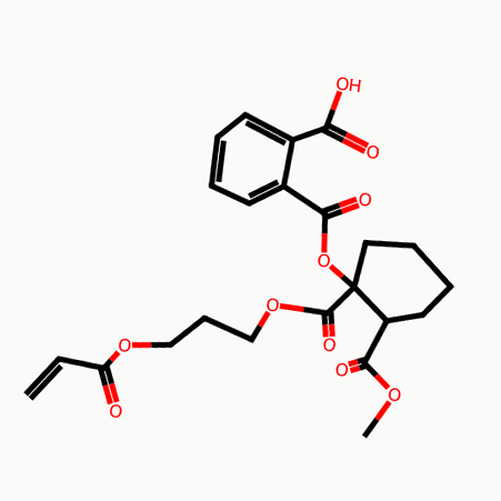 C=CC(=O)OCCCOC(=O)C1(OC(=O)c2ccccc2C(=O)O)CCCCC1C(=O)OC